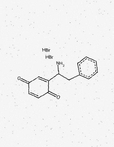 Br.Br.NC(Cc1ccccc1)C1=CC(=O)C=CC1=O